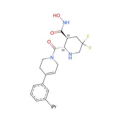 CC(C)c1cccc(C2=CCN(C(=O)[C@H]3NCC(F)(F)C[C@@H]3C(=O)NO)CC2)c1